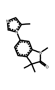 Cc1cncn1-c1ccc2c(c1)N(C)C(=O)C2(C)C